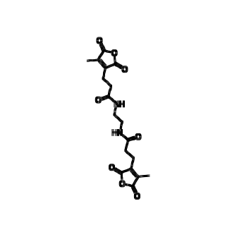 CC1=C(CCC(=O)NCCNC(=O)CCC2=C(C)C(=O)OC2=O)C(=O)OC1=O